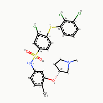 CN1CC[C@@H](Oc2cc(NS(=O)(=O)c3ccc(Sc4cccc(Cl)c4Cl)c(Cl)c3)ccc2C(F)(F)F)C1